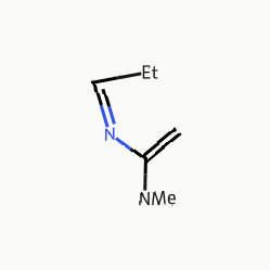 C=C(/N=C\CC)NC